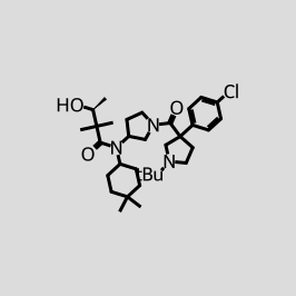 C[C@H](O)C(C)(C)C(=O)N(C1CCC(C)(C)CC1)C1CCN(C(=O)C2(c3ccc(Cl)cc3)CCN(C(C)(C)C)C2)C1